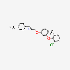 Cc1cc[c]c(Cl)c1Oc1cccc(OC/C=C/c2ccc(C(F)(F)F)cc2)c1